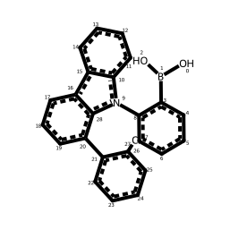 OB(O)c1ccccc1-n1c2ccccc2c2cccc(-c3ccccc3Cl)c21